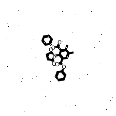 Cc1cc(C(=O)Oc2ccccc2)c(N2C(=O)C=CC2=O)c(C(=O)Oc2ccccc2)c1C